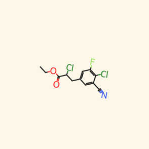 CCOC(=O)C(Cl)Cc1cc(F)c(Cl)c(C#N)c1